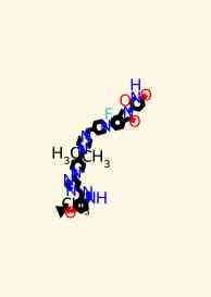 CC1(Oc2ccc3[nH]nc(-c4cc(N5CCC(C(C)(C)N6CCN(CC7CCN(c8ccc9c(c8F)CN(C8CCC(=O)NC8=O)C9=O)CC7)CC6)CC5)ncn4)c3c2)CC1